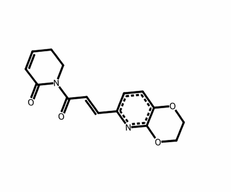 O=C1C=CCCN1C(=O)/C=C/c1ccc2c(n1)OCCO2